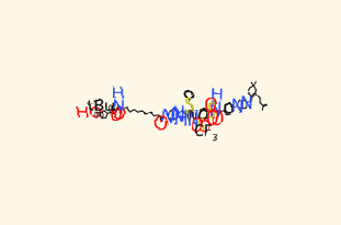 C=C(C)CCC1=C(CN2CCN(c3ccc(C(=O)NS(=O)(=O)c4ccc(N[C@H](CCN5CCN(C(=O)CCCCCCCCCC(=O)N[C@H](C(=O)C6CC[C@@H](O)C6)C(C)(C)C)CC5)CSc5ccccc5)c(S(=O)(=O)C(F)(F)F)c4)cc3)CC2)CCC(C)(C)C1